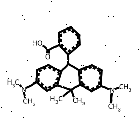 CN(C)c1ccc2c(c1)C(C)(C)c1cc(N(C)C)ccc1C2c1ccccc1C(=O)O